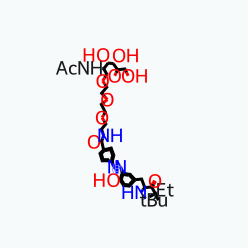 CCC(C)(C)C(=O)C(Cc1ccc(O)c(/N=N/c2ccc(C(=O)NCCOCCOCCOC3OC(CO)C(O)C(O)C3NC(C)=O)cc2)c1)NC(C)(C)C